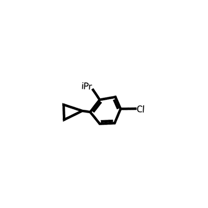 CC(C)c1cc(Cl)ccc1C1CC1